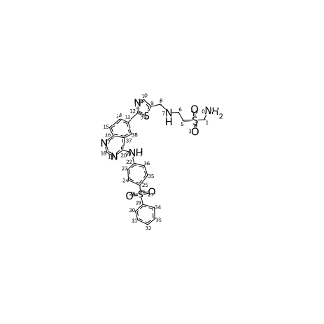 NCS(=O)(=O)CCNCc1cnc(-c2ccc3ncnc(Nc4ccc(S(=O)(=O)c5ccccc5)cc4)c3c2)s1